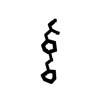 O=CC(Br)Cc1ccc(OCc2ccccc2)cc1